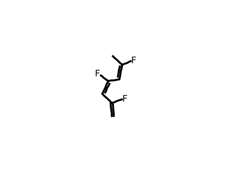 C=C(F)/C=C(F)\C=C(/C)F